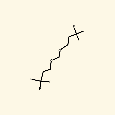 FC(F)(F)CCOCOCCC(F)(F)F